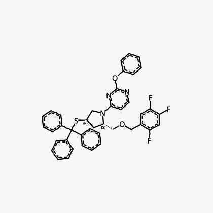 Fc1cc(F)c(COC[C@@H]2C[C@@H](SC(c3ccccc3)(c3ccccc3)c3ccccc3)CN2c2ccnc(Oc3ccccc3)n2)cc1F